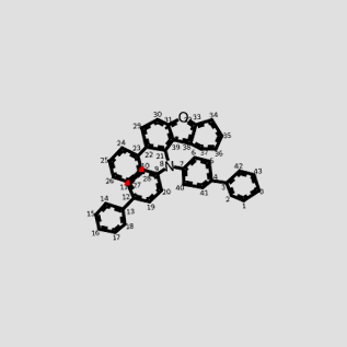 c1ccc(-c2ccc(N(c3ccc(-c4ccccc4)cc3)c3c(-c4ccccc4)ccc4oc5ccccc5c34)cc2)cc1